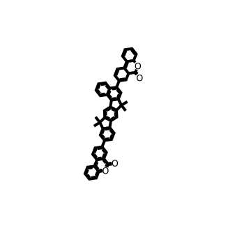 CC1(C)c2cc(-c3ccc4c(c3)c(=O)oc3ccccc34)ccc2-c2cc3c(cc21)-c1c(cc(C2=CC4C(=O)OC5C=CC=CC5=C4C=C2)c2ccccc12)C3(C)C